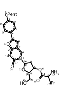 CCCCCc1ccc(-c2cc3cn([C@H]4CC(OC(=O)C(N)C(C)C)[C@@H](CO)O4)c(=O)nc3o2)cc1